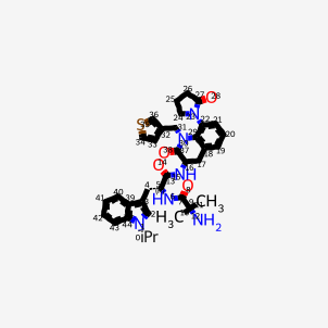 CC(C)n1cc(C[C@@H](NC(=O)C(C)(C)N)C(=O)NC2Cc3cccc(N4CCCC4=O)c3N(Cc3ccsc3)C2=O)c2ccccc21